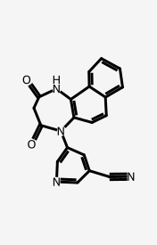 N#Cc1cncc(N2C(=O)CC(=O)Nc3c2ccc2ccccc32)c1